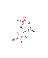 C[C@@H]1CS(=O)(=O)CC1OP(C)(C)=O